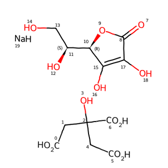 O=C(O)CC(O)(CC(=O)O)C(=O)O.O=C1O[C@H]([C@@H](O)CO)C(O)=C1O.[NaH]